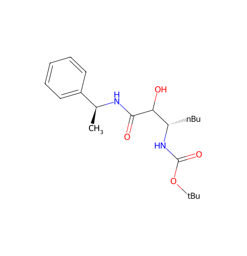 CCCC[C@H](NC(=O)OC(C)(C)C)C(O)C(=O)N[C@@H](C)c1ccccc1